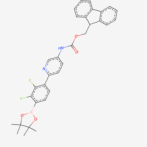 CC1(C)OB(c2ccc(-c3ccc(NC(=O)OCC4c5ccccc5-c5ccccc54)cn3)c(F)c2F)OC1(C)C